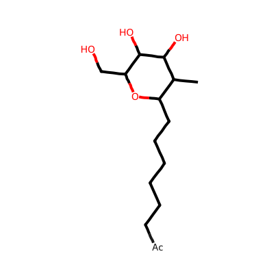 CC(=O)CCCCCCC1OC(CO)C(O)C(O)C1C